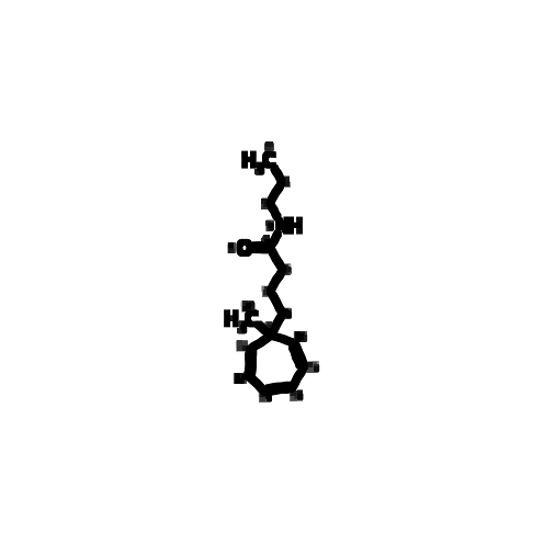 CCCNC(=O)CCCC1(C)C=CC=CC=C1